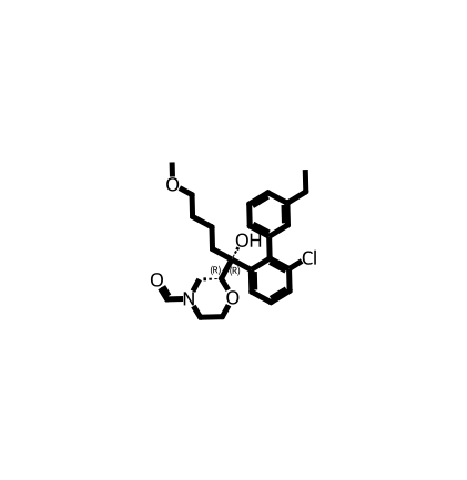 CCc1cccc(-c2c(Cl)cccc2[C@](O)(CCCCOC)[C@H]2CN(C=O)CCO2)c1